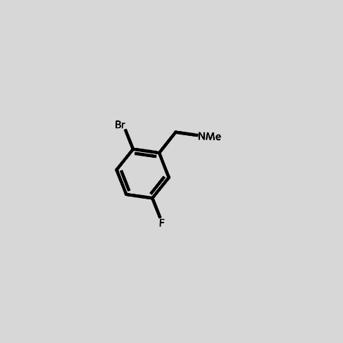 CNCc1cc(F)ccc1Br